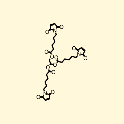 O=C(CCCCCN1C(=O)C=CC1=O)OCC(OC(=O)CCCCCN1C(=O)C=CC1=O)OC(=O)CCCCCN1C(=O)C=CC1=O